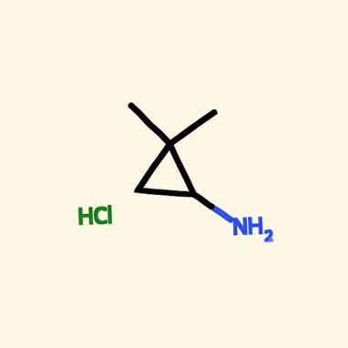 CC1(C)CC1N.Cl